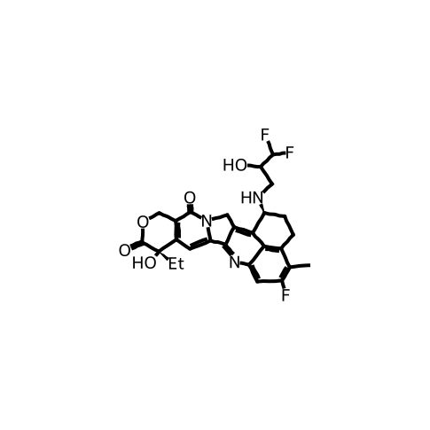 CC[C@@]1(O)C(=O)OCc2c1cc1n(c2=O)Cc2c-1nc1cc(F)c(C)c3c1c2[C@@H](NCC(O)C(F)F)CC3